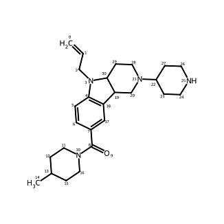 C=CCN1c2ccc(C(=O)N3CCC(C)CC3)cc2C2CN(C3CCNCC3)CCC21